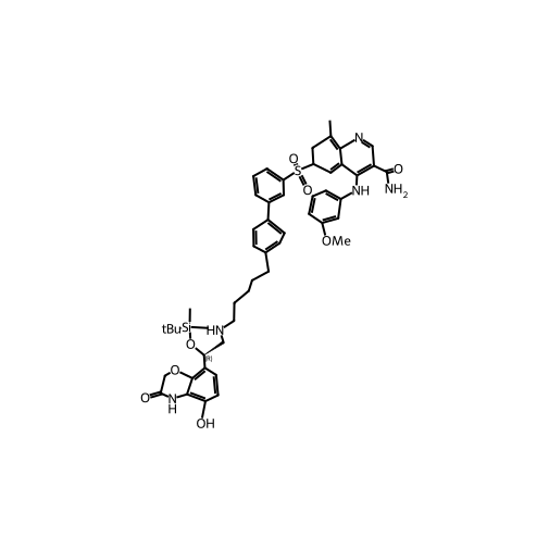 COc1cccc(Nc2c(C(N)=O)cnc3c2=CC(S(=O)(=O)c2cccc(-c4ccc(CCCCCNC[C@H](O[Si](C)(C)C(C)(C)C)c5ccc(O)c6c5OCC(=O)N6)cc4)c2)CC=3C)c1